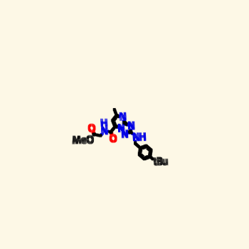 COC(=O)CNC(=O)c1cc(C)nc2nc(NCc3ccc(C(C)(C)C)cc3)nn12